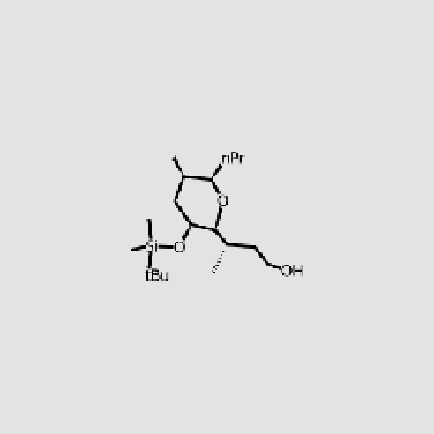 CCC[C@H]1O[C@@H]([C@@H](C)CCO)[C@@H](O[Si](C)(C)C(C)(C)C)C[C@H]1C